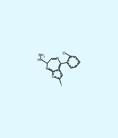 NNC1C=NC(c2ccccc2Cl)=c2cc(I)sc2=N1